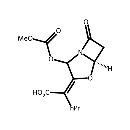 CCCC(C(=O)O)=C1O[C@@H]2CC(=O)N2C1OC(=O)OC